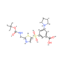 CC(C)(C)OC(=O)NCc1ncc(S(=O)(=O)c2cc(C(=O)O)cc(N3CCCC3)c2)s1